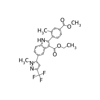 CCOC(=O)c1c(-c2ccc(C(=O)OC)cc2C)[nH]c2ccc(-c3cc(C(F)(F)F)nn3C)cc12